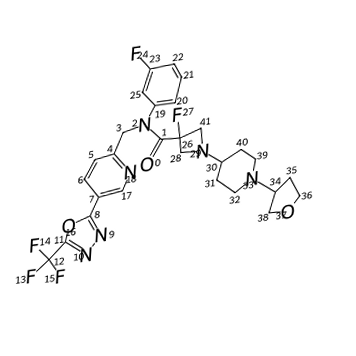 O=C(N(Cc1ccc(-c2nnc(C(F)(F)F)o2)cn1)c1cccc(F)c1)C1(F)CN(C2CCN(C3CCOC3)CC2)C1